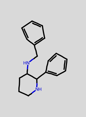 c1ccc(CNC2CCCNC2c2ccccc2)cc1